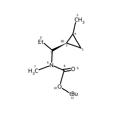 CCC([C@@H]1CC1C)N(C)C(=O)OC(C)(C)C